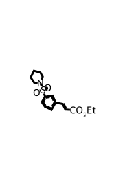 CCOC(=O)/C=C/c1cccc(S(=O)(=O)N2CCCCC2)c1